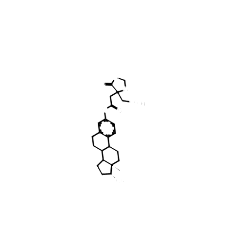 C[C@]12CCC3c4ccc(OC(=O)CC5(CC(=O)O)OCOC5=O)cc4CCC3C1CC[C@@H]2O